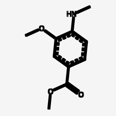 CNc1ccc(C(=O)OC)cc1OC